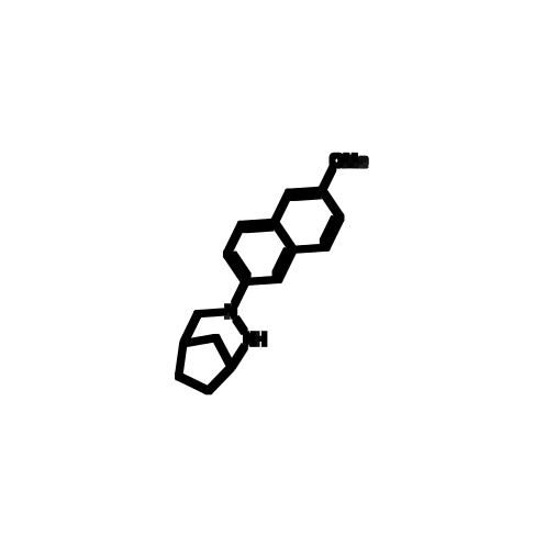 COc1ccc2cc(N3CC4CCC(C4)N3)ccc2c1